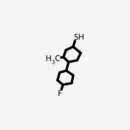 CC1CC(S)CCC1C1CCC(F)CC1